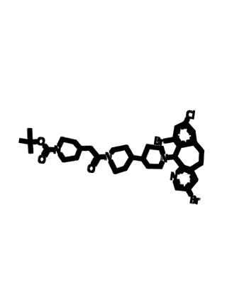 CC(C)(C)OC(=O)N1CCC(CC(=O)N2CCC(C3CCN(C4c5ncc(Br)cc5CCc5cc(Cl)cc(Br)c54)CC3)CC2)CC1